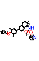 CCCCOc1c(C)cc(-c2ccc3c(c2)CCC(C)(C)[C@H]3NC(=O)O[C@H]2CN3CCC2CC3)cc1C